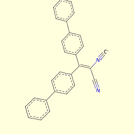 [C-]#[N+]C(C#N)=C(c1ccc(-c2ccccc2)cc1)c1ccc(-c2ccccc2)cc1